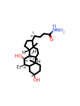 CC[C@@H]1C2C[C@H](O)CCC2(C)[C@H]2CCC3(C)C([C@H](C)CCC(=O)NN)CC[C@H]3[C@@H]2[C@@H]1O